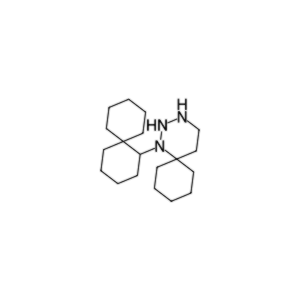 C1CCC2(CC1)CCCCC2N1NNCCC12CCCCC2